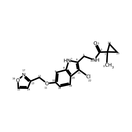 CC1(C(=O)NCc2[nH]c3cc(OCc4ccon4)ccc3c2Cl)CC1